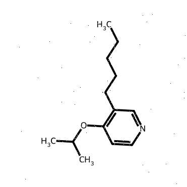 CCCC[CH]c1cnccc1OC(C)C